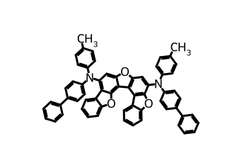 Cc1ccc(N(c2ccc(-c3ccccc3)cc2)c2cc3oc4cc(N(c5ccc(C)cc5)c5ccc(-c6ccccc6)cc5)c5c6ccccc6oc5c4c3c3c2oc2ccccc23)cc1